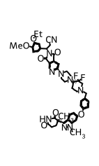 CCOc1cc(C(CC#N)N2C(=O)c3cnc(N4CCN([C@H]5CCN(Cc6ccc(Oc7ccc8c([C@@]9(C)CCC(=O)NC9=O)nn(C)c8c7)cc6)CC5(F)F)CC4)cc3C2=O)ccc1OC